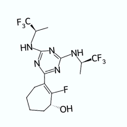 C[C@@H](Nc1nc(N[C@H](C)C(F)(F)F)nc(C2=C(F)[C@H](O)CCCC2)n1)C(F)(F)F